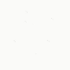 CC(C)(C)OC(=O)NC1CCNCC1.NC(=S)N(C(=O)O)C1CCNCC1